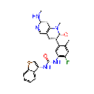 CNc1cc2c(cn1)cc(-c1cc(NC(=O)Nc3csc4ccccc34)c(F)cc1C)c(=O)n2C